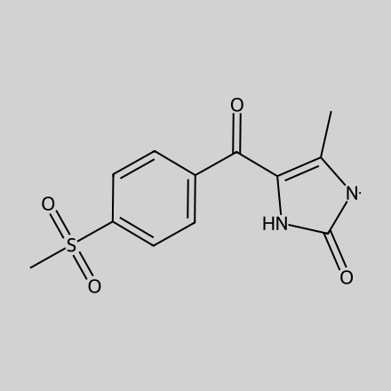 CC1=C(C(=O)c2ccc(S(C)(=O)=O)cc2)NC(=O)[N]1